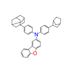 c1ccc2c(c1)oc1ccc(N(c3ccc(C4CC5CCC4C5)cc3)c3ccc(C45CC6CC(CC(C6)C4)C5)cc3)cc12